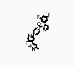 Cc1cc(-c2cc(N3CCN(C(=O)N4N=CC[C@H]4c4cc(F)cc(F)c4)CC3)ncc2F)n(C)n1